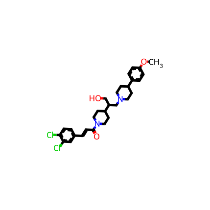 COc1ccc(C2CCN(CC(CO)C3CCN(C(=O)/C=C/c4ccc(Cl)c(Cl)c4)CC3)CC2)cc1